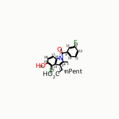 CCCCC[C@H](C(=O)O)c1c(C)n(C(=O)c2cccc(F)c2)c2ccc(O)c(F)c12